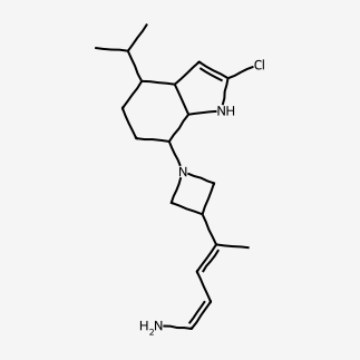 C/C(=C\C=C/N)C1CN(C2CCC(C(C)C)C3C=C(Cl)NC32)C1